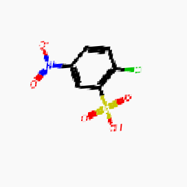 O=[N+]([O-])c1[c]cc(Cl)c(S(=O)(=O)O)c1